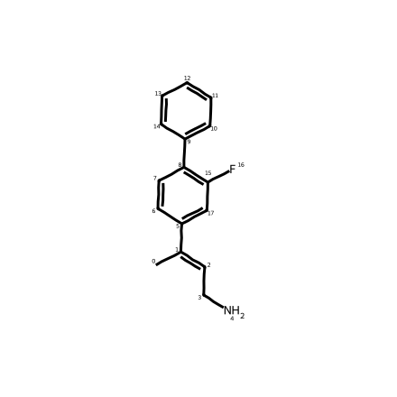 CC(=CCN)c1ccc(-c2ccccc2)c(F)c1